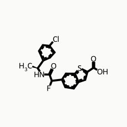 C[C@H](NC(=O)C(F)c1ccc2cc(C(=O)O)sc2c1)c1ccc(Cl)cc1